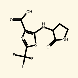 O=C(O)c1nc(C(F)(F)F)sc1NC1CCNC1=O